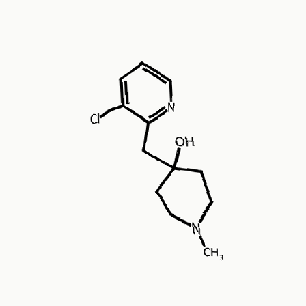 CN1CCC(O)(Cc2ncccc2Cl)CC1